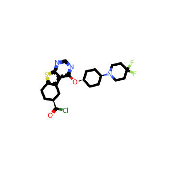 O=C(Cl)[C@H]1CCc2sc3ncnc(O[C@H]4CC[C@H](N5CCC(F)(F)CC5)CC4)c3c2C1